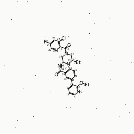 CCOc1ncccc1-c1ccc(N2CCN(C(=O)c3ncc(F)cc3Cl)C[C@H]2CC)c(C(N)=O)c1